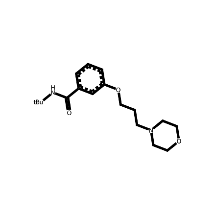 CC(C)(C)NC(=O)c1cccc(OCCCN2CCOCC2)c1